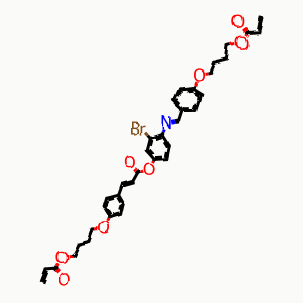 C=CC(=O)OCCCCOc1ccc(/C=C/C(=O)Oc2ccc(/N=C/c3ccc(OCCCCOC(=O)C=C)cc3)c(Br)c2)cc1